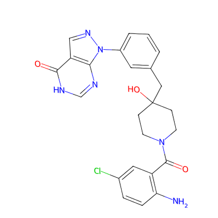 Nc1ccc(Cl)cc1C(=O)N1CCC(O)(Cc2cccc(-n3ncc4c(=O)[nH]cnc43)c2)CC1